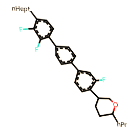 CCCCCCCc1ccc(-c2ccc(-c3ccc(C4CCC(CCC)OC4)c(F)c3)cc2)c(F)c1F